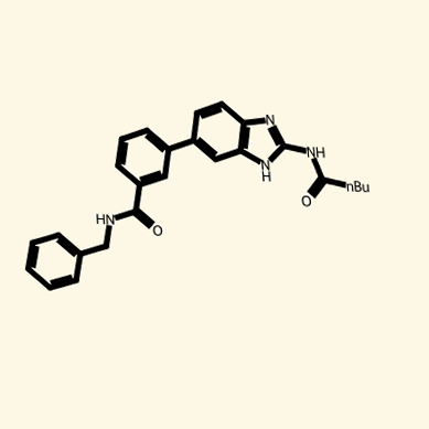 CCCCC(=O)Nc1nc2ccc(-c3cccc(C(=O)NCc4ccccc4)c3)cc2[nH]1